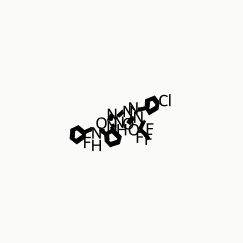 O=C(NCc1ccccc1F)c1ccccc1-n1cnc(Cn2nc(-c3ccc(Cl)cc3)n(CC(O)C(F)(F)F)c2=O)n1